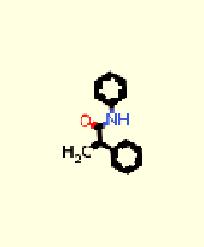 C=C(C(=O)Nc1ccccc1)c1ccccc1